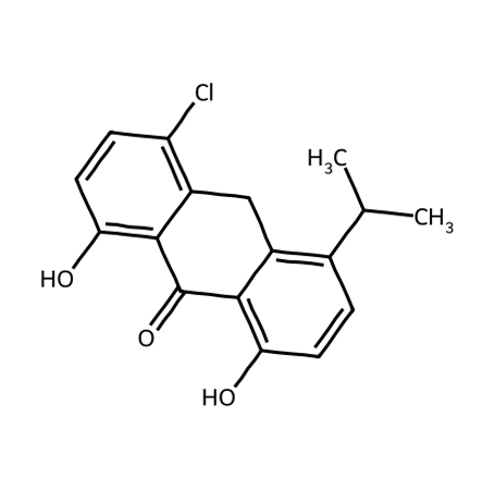 CC(C)c1ccc(O)c2c1Cc1c(Cl)ccc(O)c1C2=O